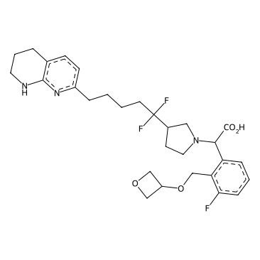 O=C(O)C(c1cccc(F)c1COC1COC1)N1CCC(C(F)(F)CCCCc2ccc3c(n2)NCCC3)C1